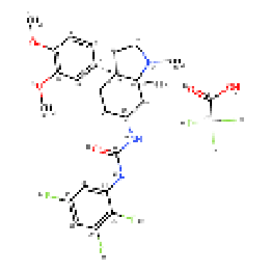 COc1ccc([C@@]23CC[C@@H](NC(=O)Nc4cc(F)cc(F)c4F)C[C@@H]2N(C)CC3)cc1OC.O=C(O)C(F)(F)F